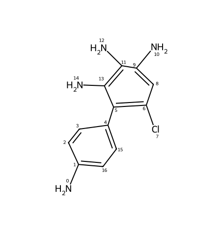 Nc1ccc(-c2c(Cl)cc(N)c(N)c2N)cc1